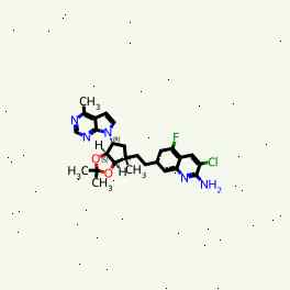 Cc1ncnc2c1ccn2[C@@H]1C[C@](C)(CCC2C=c3nc(N)c(Cl)cc3=C(F)C2)[C@H]2OC(C)(C)O[C@@H]12